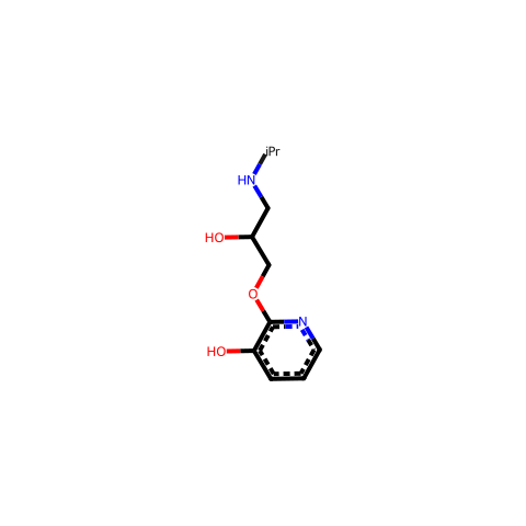 CC(C)NCC(O)COc1ncccc1O